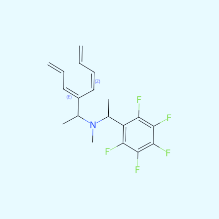 C=C/C=C\C(=C/C=C)C(C)N(C)C(C)c1c(F)c(F)c(F)c(F)c1F